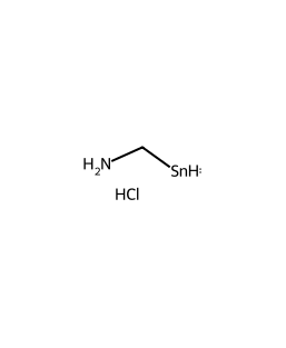 Cl.N[CH2][SnH]